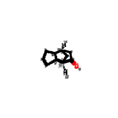 O=C1C[C@H]2C[C@@H]1C1CCCC12